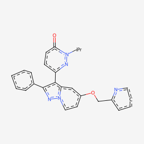 CC(C)n1nc(-c2c(-c3ccccc3)nn3ccc(OCc4ccccn4)cc23)ccc1=O